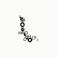 O=C(CNC(=O)c1cccc(C(F)(F)F)c1)NC1CN([C@H]2CC[C@@H](n3cc(I)cn3)CC2)C1